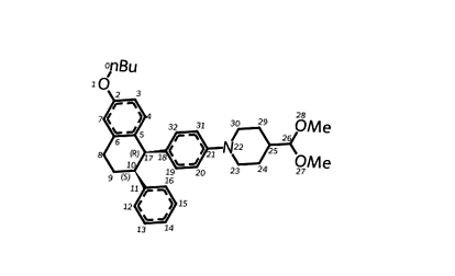 CCCCOc1ccc2c(c1)CC[C@H](c1ccccc1)[C@@H]2c1ccc(N2CCC(C(OC)OC)CC2)cc1